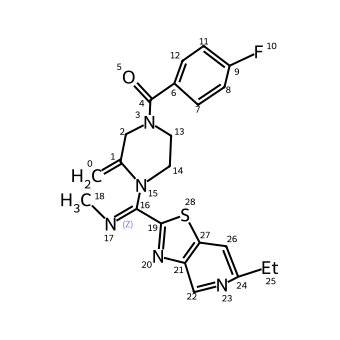 C=C1CN(C(=O)c2ccc(F)cc2)CCN1/C(=N\C)c1nc2cnc(CC)cc2s1